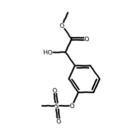 COC(=O)C(O)c1cccc(OS(C)(=O)=O)c1